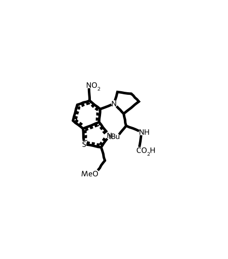 COCc1nc2c(N3CCCC3C(NC(=O)O)C(C)(C)C)c([N+](=O)[O-])ccc2s1